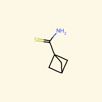 NC(=S)C12CC(C1)C2